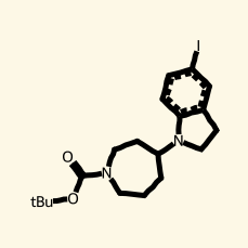 CC(C)(C)OC(=O)N1CCCC(N2CCc3cc(I)ccc32)CC1